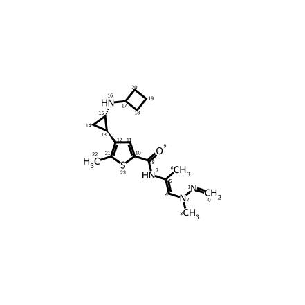 C=NN(C)/C=C(\C)NC(=O)c1cc([C@H]2C[C@@H]2NC2CCC2)c(C)s1